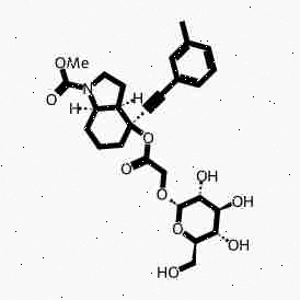 COC(=O)N1CC[C@@H]2[C@H]1CCC[C@]2(C#Cc1cccc(C)c1)OC(=O)CO[C@H]1O[C@H](CO)[C@@H](O)[C@H](O)[C@H]1O